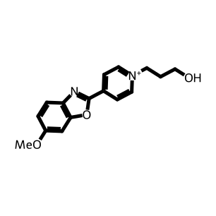 COc1ccc2nc(-c3cc[n+](CCCO)cc3)oc2c1